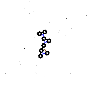 c1ccc2c(c1)Sc1c(-c3ccc(-n4c5ccccc5c5cc(-n6c7ccccc7c7ccccc76)ccc54)cc3)ccc3c4ccccc4n-2c13